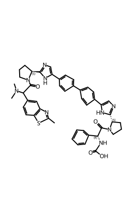 Cc1nc2cc(C(C(=O)N3CCC[C@H]3c3ncc(-c4ccc(-c5ccc(-c6cnc([C@@H]7CCCN7C(=O)[C@H](NC(=O)O)c7ccccc7)[nH]6)cc5)cc4)[nH]3)N(C)C)ccc2s1